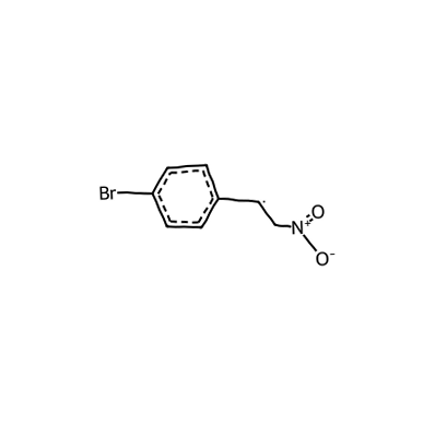 O=[N+]([O-])C[CH]c1ccc(Br)cc1